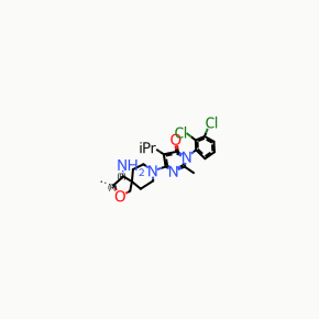 Cc1nc(N2CCC3(CC2)CO[C@H](C)[C@@H]3N)c(C(C)C)c(=O)n1-c1cccc(Cl)c1Cl